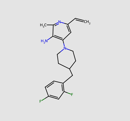 C=Cc1cc(N2CCC(Cc3ccc(F)cc3F)CC2)c(N)c(C)n1